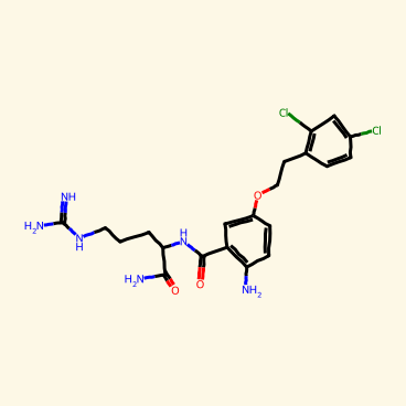 N=C(N)NCCCC(NC(=O)c1cc(OCCc2ccc(Cl)cc2Cl)ccc1N)C(N)=O